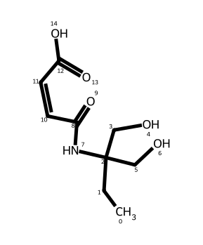 CCC(CO)(CO)NC(=O)/C=C\C(=O)O